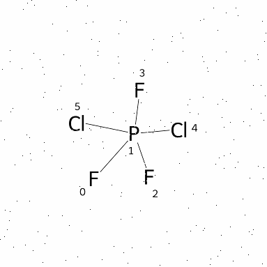 FP(F)(F)(Cl)Cl